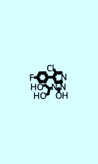 OCC(CO)n1c(O)nc2ncc(Cl)c(-c3ccc(F)cc3)c21